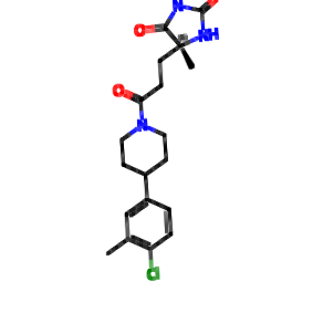 Cc1cc(C2CCN(C(=O)CC[C@@]3(C)NC(=O)NC3=O)CC2)ccc1Cl